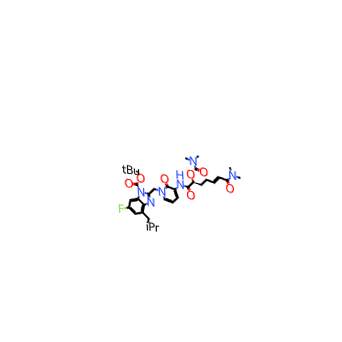 CC(C)Cc1cc(F)cc2c1nc(Cn1cccc(NC(=O)[C@H](CC/C=C/C(=O)N(C)C)OC(=O)N(C)C)c1=O)n2C(=O)OC(C)(C)C